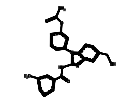 NC(=O)Oc1cccc(-n2c(NC(=O)c3cccc(C(F)(F)F)c3)nc3cc(CO)ccc32)c1